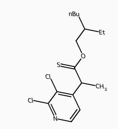 CCCCC(CC)COC(=S)C(C)c1ccnc(Cl)c1Cl